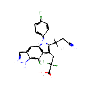 CC(C)(CC#N)c1c(CC(F)(F)C(=O)O)c2c(F)c3[nH]ncc3cc2n1-c1ccc(F)cc1